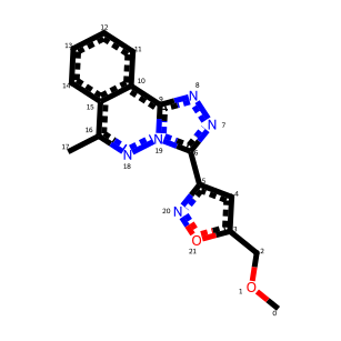 COCc1cc(-c2nnc3c4ccccc4c(C)nn23)no1